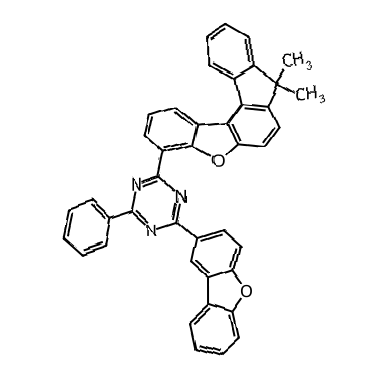 CC1(C)c2ccccc2-c2c1ccc1oc3c(-c4nc(-c5ccccc5)nc(-c5ccc6oc7ccccc7c6c5)n4)cccc3c21